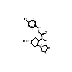 CN(C(=O)COc1ccc(F)cc1)C1CCCCC1N1CCCC1.Cl